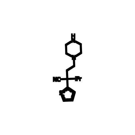 CC(C)C(C#N)(CCN1CCNCC1)c1cccs1